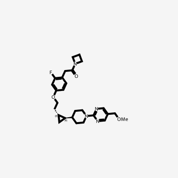 COCc1cnc(N2CCC([C@H]3C[C@@H]3CCOc3ccc(CC(=O)N4CCC4)c(F)c3)CC2)nc1